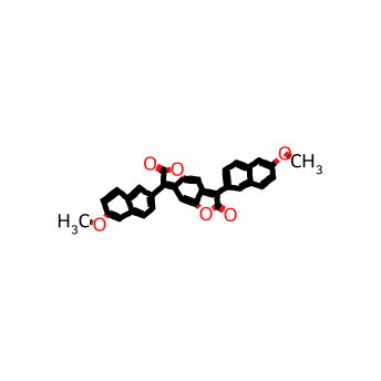 COc1ccc2cc(C3=c4cc5c(cc4OC3=O)=C(c3ccc4cc(OC)ccc4c3)C(=O)O5)ccc2c1